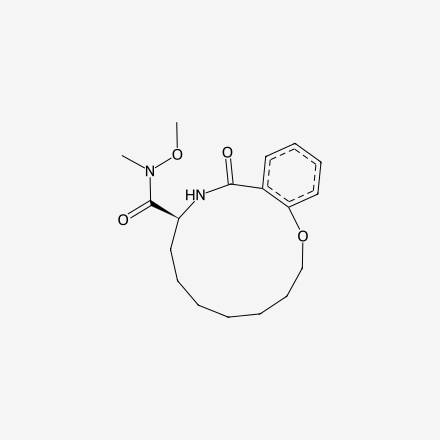 CON(C)C(=O)[C@@H]1CCCCCCCOc2ccccc2C(=O)N1